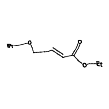 CCOC(=O)/C=C/COC(C)C